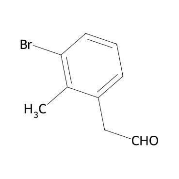 Cc1c(Br)cccc1CC=O